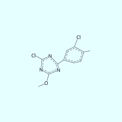 COc1nc(Cl)nc(-c2ccc(C)c(Cl)c2)n1